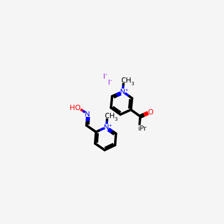 CC(C)C(=O)c1ccc[n+](C)c1.C[n+]1ccccc1C=NO.[I-].[I-]